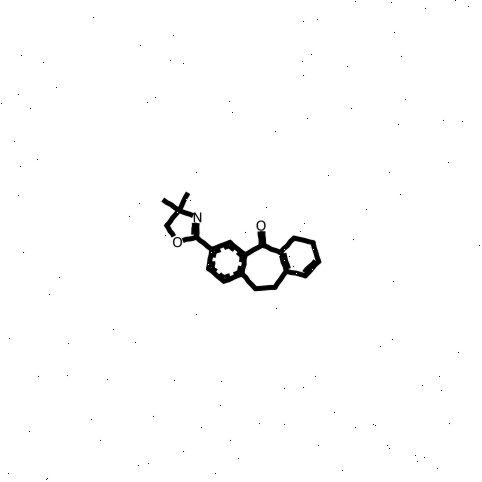 CC1(C)COC(c2ccc3c(c2)C(=O)C2=C(C=CCC2)CC3)=N1